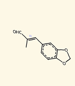 C/C(C=O)=C\c1ccc2c(c1)OCO2